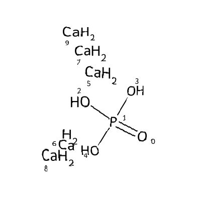 O=P(O)(O)O.[CaH2].[CaH2].[CaH2].[CaH2].[CaH2]